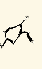 [N]=Cc1cc(Cl)ccc1O